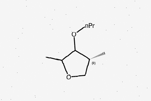 CCCOC1C(C)OC[C@H]1C